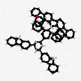 c1ccc(-c2cc(-c3nc(-c4ccc5c(c4)sc4ccccc45)nc(-c4ccc5c(c4)sc4ccccc45)n3)cc(-c3ccccc3)c2-n2c3c(-c4ccccc4)c(-c4ccccc4)ccc3c3ccc(-c4ccccc4)c(-c4ccccc4)c32)cc1